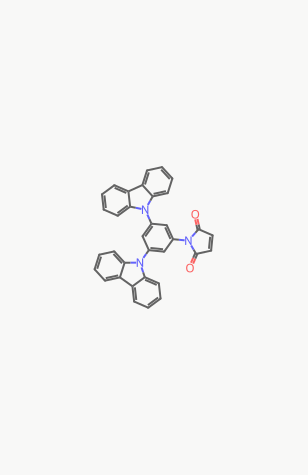 O=C1C=CC(=O)N1c1cc(-n2c3ccccc3c3ccccc32)cc(-n2c3ccccc3c3ccccc32)c1